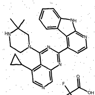 CC1(C)CN(c2nc(-c3ccnc4[nH]c5ccccc5c34)nc3cncc(C4CC4)c23)CCN1.O=C(O)C(F)(F)F